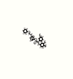 O=C(OC1C[N+]2(CCOc3ccccc3)CCC1CC2)N(Cc1ccc(F)c(F)c1)c1cccc(F)c1